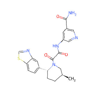 C[C@H]1CC[C@H](c2ccc3scnc3c2)N(C(=O)C(=O)Nc2cncc(C(N)=O)c2)C1